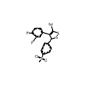 [3H]C1=C(c2ccc(F)c(F)c2)C(c2ccc(S(C)(=O)=O)cc2)SS1